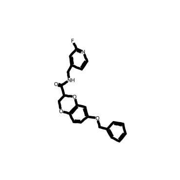 O=C(NCc1ccnc(F)c1)C1COc2ccc(OCc3ccccc3)cc2O1